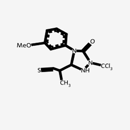 COc1cccc(N2C(=O)N(C(Cl)(Cl)Cl)NC2C(C)C=S)c1